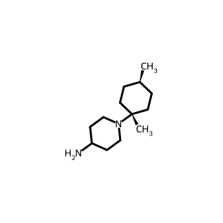 C[C@H]1CC[C@](C)(N2CCC(N)CC2)CC1